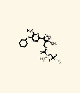 Cc1nc(-c2nnn(C)c2COC(=O)N(C)CC(C)(F)F)ccc1OC1CCCCC1